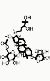 CC(=O)OC[C@H]1O[C@@H](O[C@H]2C[C@@H]3[C@]4(CC[C@]5(C)[C@@H]([C@H](C)CC[C@H](O)C(C)(C)O)[C@@H](O)C[C@@]35C)C[C@@]43CC[C@H](O[C@@H]4OC[C@@H](O)[C@H](O)[C@H]4O)C(C)(C)[C@H]23)[C@H](O)[C@@H](O)[C@@H]1O